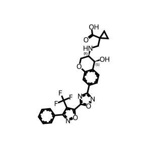 O=C(O)C1(CN[C@@H]2COc3cc(-c4noc(-c5onc(-c6ccccc6)c5C(F)(F)F)n4)ccc3[C@@H]2O)CC1